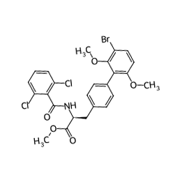 COC(=O)[C@H](Cc1ccc(-c2c(OC)ccc(Br)c2OC)cc1)NC(=O)c1c(Cl)cccc1Cl